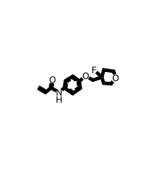 C=CC(=O)Nc1ccc(OCC2(F)CCOCC2)cc1